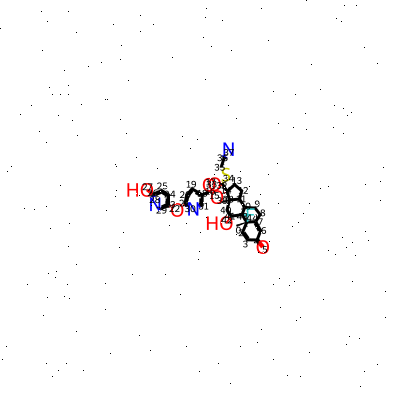 C[C@]12C=CC(=O)C=C1CCC1C3CC[C@](OC(=O)c4ccc(Oc5ccc(O)nc5)nc4)(C(=O)SCC#N)[C@@]3(C)C[C@H](O)C12F